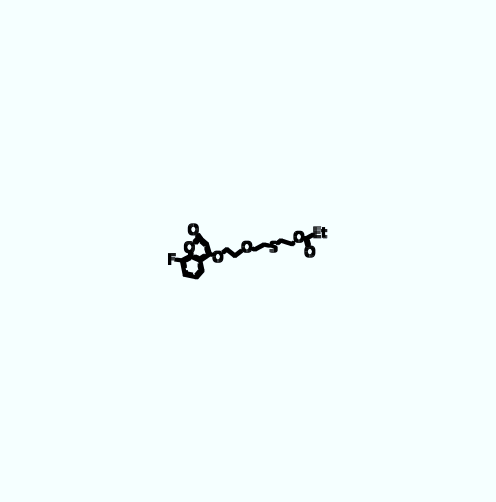 CCC(=O)OCCSCCOCCOc1cc(=O)oc2c(F)cccc12